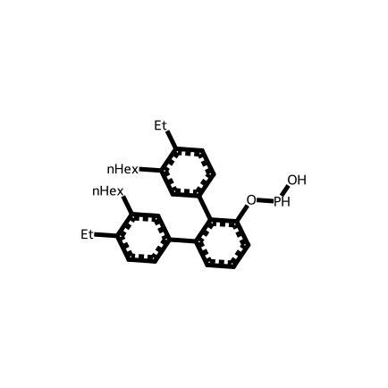 CCCCCCc1cc(-c2cccc(OPO)c2-c2ccc(CC)c(CCCCCC)c2)ccc1CC